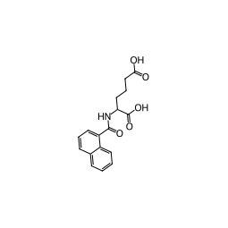 O=C(O)CCCC(NC(=O)c1cccc2ccccc12)C(=O)O